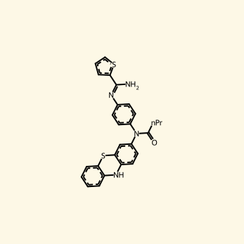 CCCC(=O)N(c1ccc(N=C(N)c2cccs2)cc1)c1ccc2c(c1)Sc1ccccc1N2